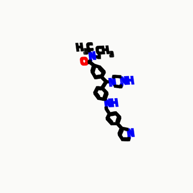 CCN(CC)C(=O)c1ccc(C(c2cccc(NCc3ccc(-c4cccnc4)cc3)c2)N2CCNCC2)cc1